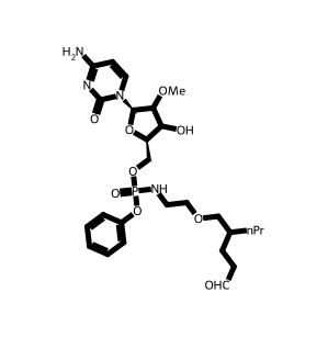 CCCC(CCC=O)COCCNP(=O)(OC[C@H]1O[C@@H](n2ccc(N)nc2=O)C(OC)C1O)Oc1ccccc1